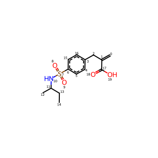 C=C(Cc1ccc(S(=O)(=O)NC(C)CC)cc1)C(=O)O